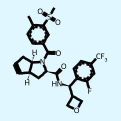 Cc1ccc(C(=O)N2[C@@H](C(=O)N[C@@H](c3ccc(C(F)(F)F)cc3F)C3COC3)C[C@H]3C#CC[C@H]32)cc1S(C)(=O)=O